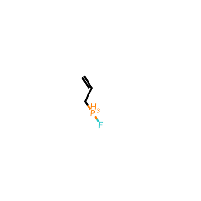 C=CC[PH3]F